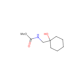 COC(=O)NCC1(O)CCCCC1